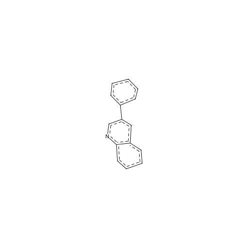 [c]1c(-c2ccccc2)cnc2ccccc12